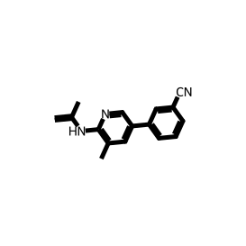 C=C(C)Nc1ncc(-c2cccc(C#N)c2)cc1C